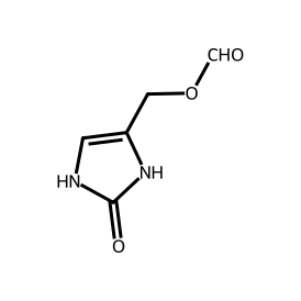 O=COCc1c[nH]c(=O)[nH]1